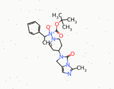 Cc1ncc2n1C(=O)N(C1CCN([N+]([O-])(C(=O)OC(C)(C)C)C(C)c3ccccc3)CC1)C2